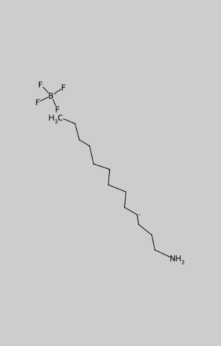 CCCCCCCCC[CH]CCCN.F[B-](F)(F)F